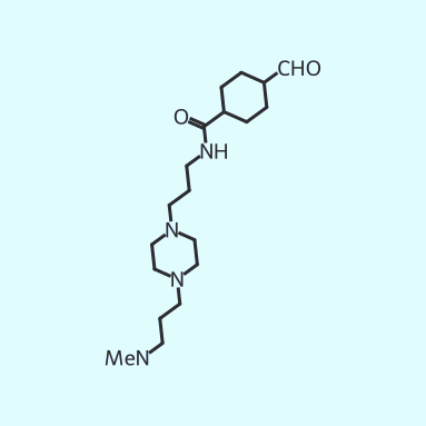 CNCCCN1CCN(CCCNC(=O)C2CCC(C=O)CC2)CC1